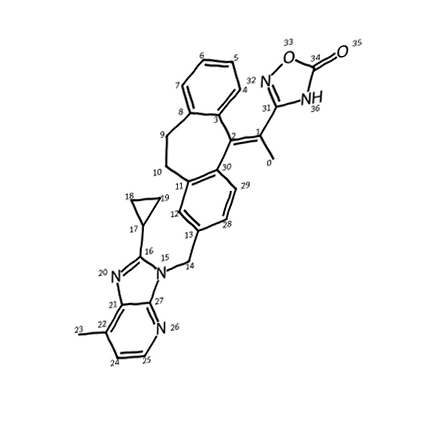 CC(=C1c2ccccc2CCc2cc(Cn3c(C4CC4)nc4c(C)ccnc43)ccc21)c1noc(=O)[nH]1